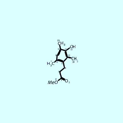 COC(=O)CCc1c(C)cc(C)c(O)c1C